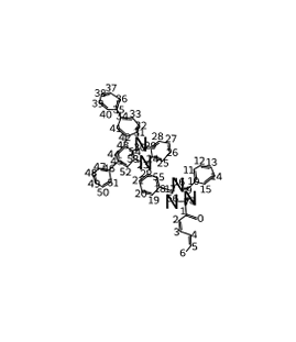 C=C(/C=C\C=C/C)c1nc(-c2ccccc2)nc(-c2cccc(N3c4ccccc4-n4c5ccc(-c6ccccc6)cc5c5cc(-c6ccccc6)cc3c54)c2)n1